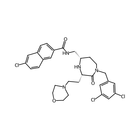 O=C(NC[C@@H]1CCN(Cc2cc(Cl)cc(Cl)c2)C(=O)[C@H](CCN2CCOCC2)N1)c1ccc2cc(Cl)ccc2c1